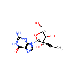 CC#C[C@@]1(O)C(O)[C@@H](CO)O[C@H]1n1cnc2c(=O)[nH]c(N)nc21